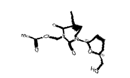 Cc1cn([C@H]2CC[C@@H](CO)O2)c(=O)n(COC(=O)C(C)(C)C)c1=O